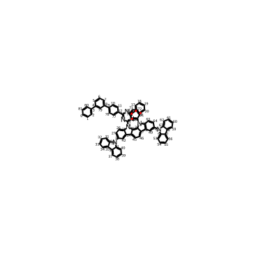 c1ccc(-c2cccc(-c3ccc(-c4nc(-c5ccccc5)nc(-n5c6ccc(-n7c8ccccc8c8ccccc87)cc6c6ccc7c8cc(-n9c%10ccccc%10c%10ccccc%109)ccc8n(-c8ccccc8)c7c65)n4)cc3)c2)cc1